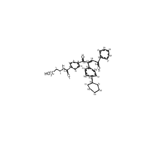 O=C(O)CCNC(=O)c1ccc(C(=O)C(=CC(=O)c2ccccc2)c2ccc(C3CCCCC3)cc2)cc1